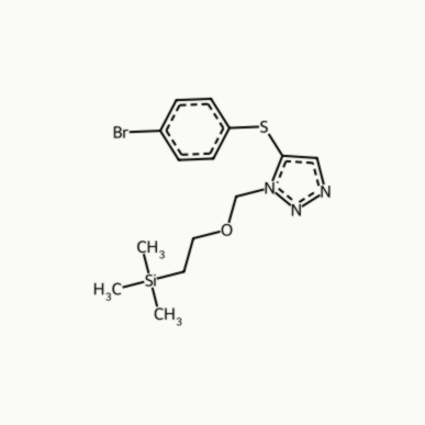 C[Si](C)(C)CCOCn1nncc1Sc1ccc(Br)cc1